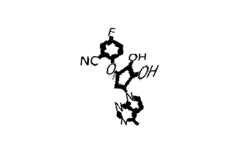 Cc1ncnc2c1ccn2C1C[C@@H](Oc2ccc(F)cc2C#N)C(O)C1O